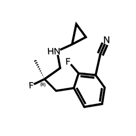 C[C@](F)(CNC1CC1)Cc1cccc(C#N)c1F